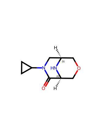 O=C1[C@@H]2COC[C@H](CN1C1CC1)N2